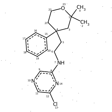 CC1(C)CC(CCNc2cncc(Cl)n2)(c2ccccc2)CCO1